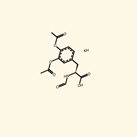 CC(=O)Oc1ccc(C[C@H](NC=O)C(=O)O)cc1OC(C)=O.[KH]